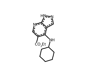 CCOC(=O)c1cnc2[nH]ncc2c1NC1CCCCC1